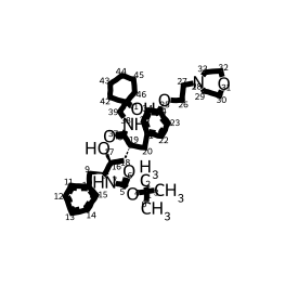 CC(C)(C)OC(=O)N[C@@H](Cc1ccccc1)[C@@H](O)C[C@@H](Cc1ccc(OCCN2CCOCC2)cc1)C(=O)NCC1(O)CCCCC1